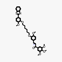 COc1ccc(/C=C/C(=O)c2cc(OC)c(OC)c(OC)c2)cc1OCCCCCCOc1cc(-c2nc3ccccc3s2)ccc1OC